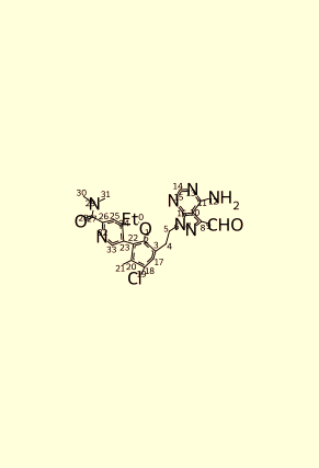 CCOc1c(CCn2nc(C=O)c3c(N)ncnc32)cc(Cl)c(C)c1-c1ccc(C(=O)N(C)C)nc1